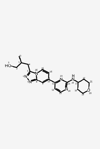 CC(CO)Cc1nnc2cc(-c3ccnc(NC4CCOCC4)n3)ccn12